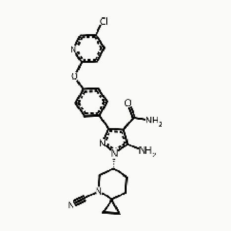 N#CN1C[C@H](n2nc(-c3ccc(Oc4ccc(Cl)cn4)cc3)c(C(N)=O)c2N)CCC12CC2